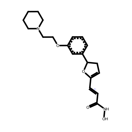 O=C(/C=C/C1=CCC(c2cccc(OCCN3CCCCC3)c2)O1)NO